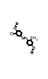 Cc1cc(N=C=O)ccc1N=Nc1ccc(N=C=O)c(Cl)c1